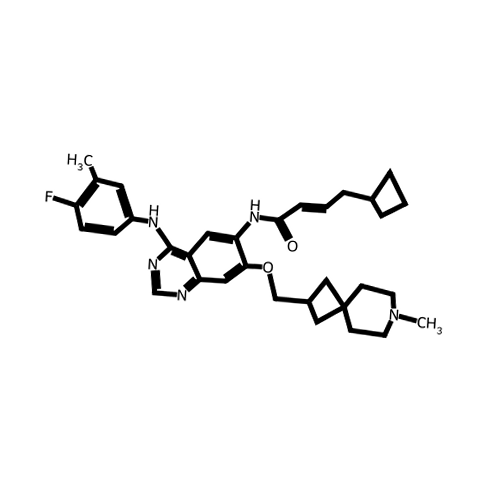 Cc1cc(Nc2ncnc3cc(OCC4CC5(CCN(C)CC5)C4)c(NC(=O)/C=C/CC4CCC4)cc23)ccc1F